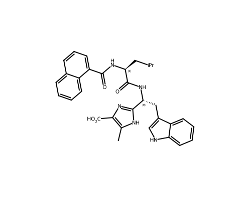 Cc1[nH]c([C@@H](Cc2c[nH]c3ccccc23)NC(=O)[C@H](CC(C)C)NC(=O)c2cccc3ccccc23)nc1C(=O)O